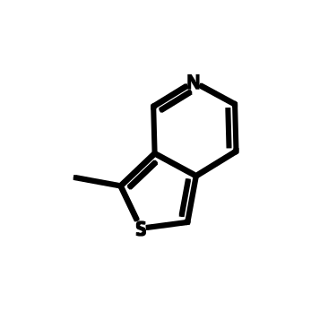 Cc1scc2ccncc12